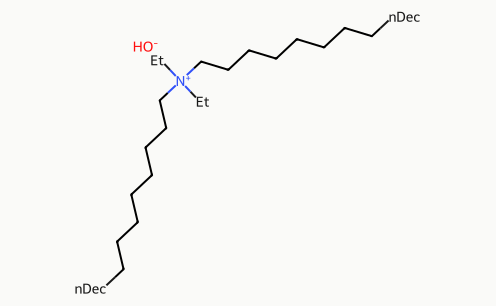 CCCCCCCCCCCCCCCCCC[N+](CC)(CC)CCCCCCCCCCCCCCCCCC.[OH-]